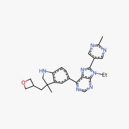 CCn1c(-c2cnc(C)nc2)nc2c(-c3ccc4c(c3)C(C)(CC3COC3)CN4)ncnc21